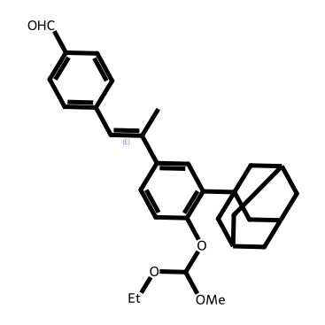 CCOC(OC)Oc1ccc(/C(C)=C/c2ccc(C=O)cc2)cc1C12CC3CC(CC(C3)C1)C2